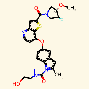 CO[C@H]1CN(C(=O)c2cc3nccc(Oc4ccc5c(c4)cc(C)n5C(=O)NCCO)c3s2)CC1F